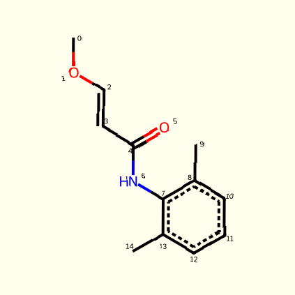 COC=CC(=O)Nc1c(C)cccc1C